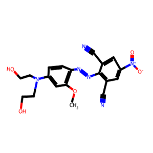 COc1cc(N(CCO)CCO)ccc1N=Nc1c(C#N)cc([N+](=O)[O-])cc1C#N